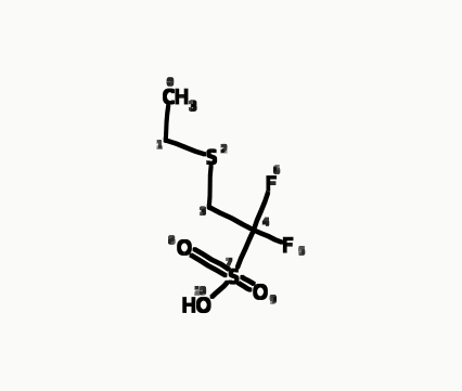 CCSCC(F)(F)S(=O)(=O)O